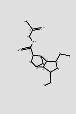 CCC1CC(CC)C2C3CC(CC3C(=O)OCC(C)=O)C12